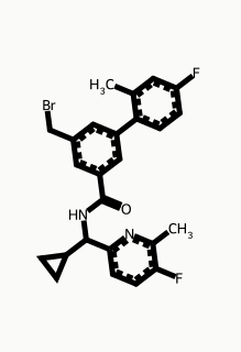 Cc1cc(F)ccc1-c1cc(CBr)cc(C(=O)NC(c2ccc(F)c(C)n2)C2CC2)c1